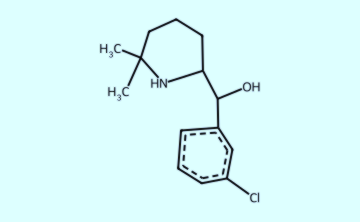 CC1(C)CCCC(C(O)c2cccc(Cl)c2)N1